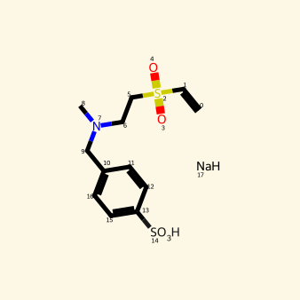 C=CS(=O)(=O)CCN(C)Cc1ccc(S(=O)(=O)O)cc1.[NaH]